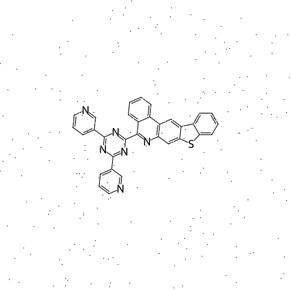 c1cncc(-c2nc(-c3cccnc3)nc(-c3nc4cc5sc6ccccc6c5cc4c4ccccc34)n2)c1